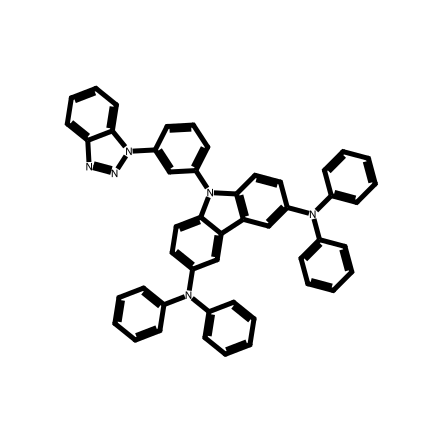 c1ccc(N(c2ccccc2)c2ccc3c(c2)c2cc(N(c4ccccc4)c4ccccc4)ccc2n3-c2cccc(-n3nnc4ccccc43)c2)cc1